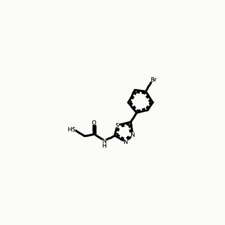 O=C(CS)Nc1nnc(-c2ccc(Br)cc2)s1